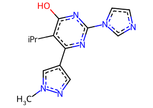 CC(C)c1c(O)nc(-n2ccnc2)nc1-c1cnn(C)c1